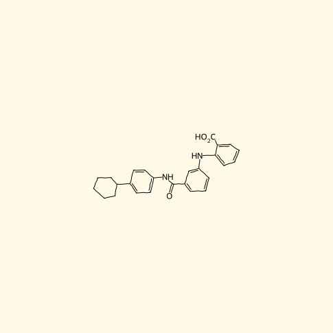 O=C(Nc1ccc(C2CCCCC2)cc1)c1cccc(Nc2ccccc2C(=O)O)c1